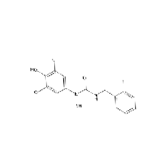 Cc1ccccc1CNC(=O)N(S)c1cc(Cl)c(O)c(Cl)c1